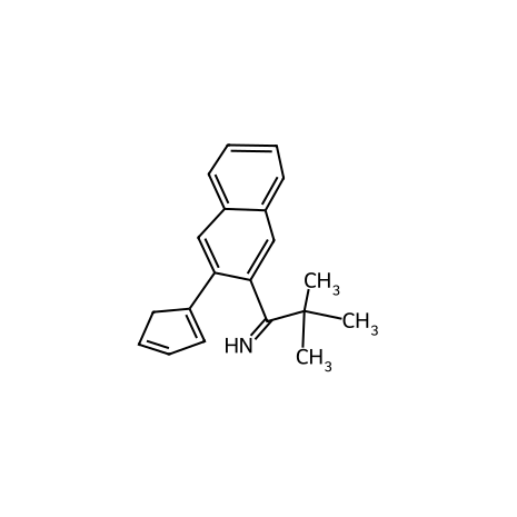 CC(C)(C)C(=N)c1cc2ccccc2cc1C1=CC=CC1